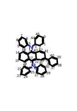 C1=CCC(N(c2ccccc2)c2c3ccccc3c(N(c3ccccc3)c3ccccc3)c3cc(-c4ccccc4)ccc23)C=C1